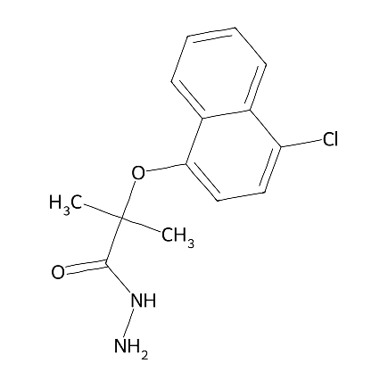 CC(C)(Oc1ccc(Cl)c2ccccc12)C(=O)NN